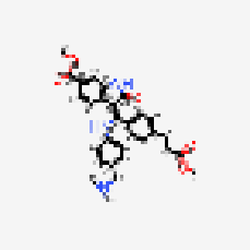 COC(=O)CCc1ccc(C(Nc2ccc(CN(C)C)cc2)=C2C(=O)Nc3cc(C(=O)OC)ccc32)cc1